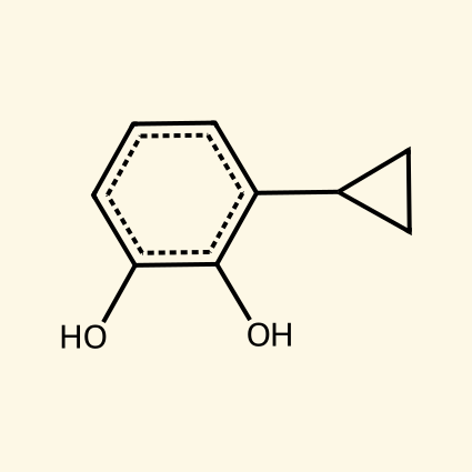 Oc1cccc(C2CC2)c1O